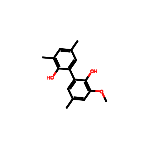 COc1cc(C)cc(-c2cc(C)cc(C)c2O)c1O